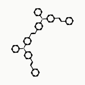 C(=Cc1ccc(N(c2ccccc2)c2ccc(C=Cc3ccc(N(c4ccccc4)c4ccc(C=Cc5ccccc5)cc4)cc3)cc2)cc1)c1ccccc1